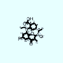 CCN(c1ccccc1C(=O)O)c1cc(F)cc2c(=O)c(C)c([S+]([O-])CC)oc12